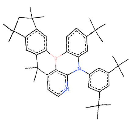 CC(C)(C)c1cc(N2c3cc(C(C)(C)C)ccc3B3c4cc5c(cc4C(C)(C)c4ccnc2c43)C(C)(C)CC5(C)C)cc(C(C)(C)C)c1